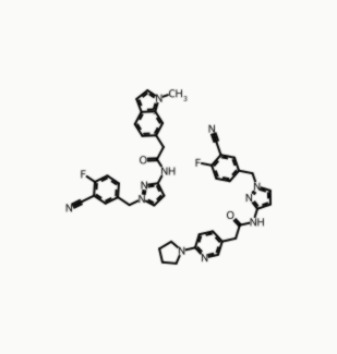 Cn1ccc2ccc(CC(=O)Nc3ccn(Cc4ccc(F)c(C#N)c4)n3)cc21.N#Cc1cc(Cn2ccc(NC(=O)Cc3ccc(N4CCCC4)nc3)n2)ccc1F